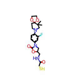 CC1(C)CN(c2ccc(N3CC(CNC(=O)CS)OC3=O)cc2F)CCC12OCCO2